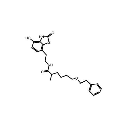 CC(CCCCOCCc1ccccc1)C(=O)NCCc1ccc(O)c2[nH]c(=O)sc12